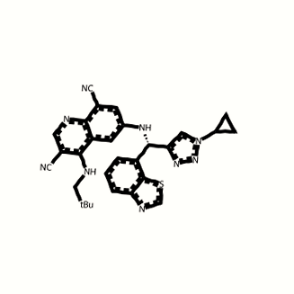 CC(C)(C)CNc1c(C#N)cnc2c(C#N)cc(N[C@H](c3cn(C4CC4)nn3)c3cccc4ncsc34)cc12